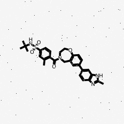 Cc1nc2ccc(-c3ccc4c(c3)CN(C(=O)c3ccc(S(=O)(=O)NC(C)(C)C)cc3C)CCO4)cc2[nH]1